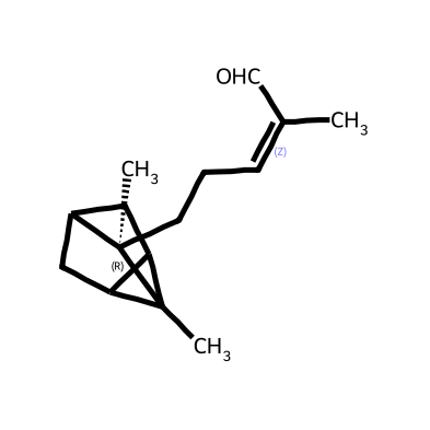 C/C(C=O)=C/CC[C@]1(C)C2CC3C(C2)C31C